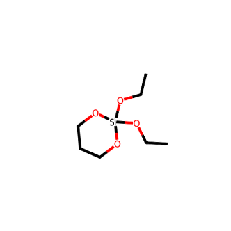 CCO[Si]1(OCC)OCCCO1